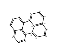 [c]1ccc2cccc3c4[c]ccc5cccc(c1c23)c54